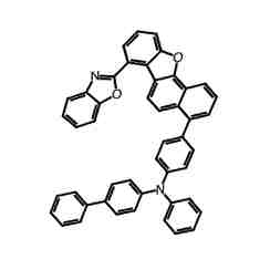 c1ccc(-c2ccc(N(c3ccccc3)c3ccc(-c4cccc5c4ccc4c5oc5cccc(-c6nc7ccccc7o6)c54)cc3)cc2)cc1